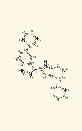 c1ccc(-c2cncc3[nH]c(-c4n[nH]c5ncc(-c6cnccn6)cc45)cc23)nc1